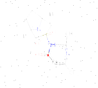 Cc1nc(C(F)(F)F)ccc1S(=O)(=O)N1[C@@H]2CC[C@H]1CC(NC(=O)C(F)(F)F)C2